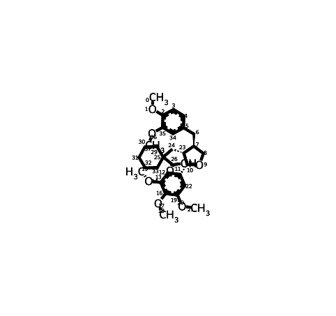 COc1ccc(C[C@H]2CO[C@H](c3cc(OC)c(OC)c(OC)c3)[C@@H]2CC2(C(=O)O)CCCCC2)cc1OC